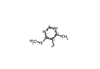 CSc1ncnc(C)c1F